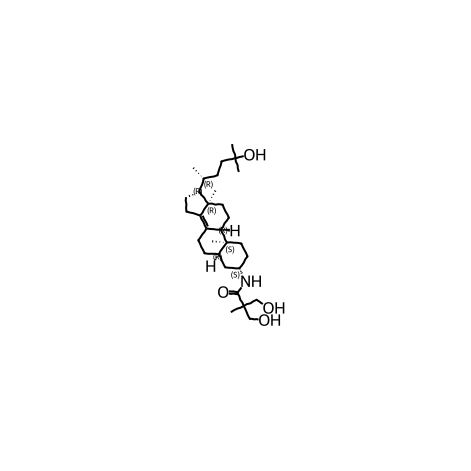 C[C@H](CCC(C)(C)O)[C@H]1CCC2=C3CC[C@@H]4C[C@@H](NC(=O)C(C)(CO)CO)CC[C@]4(C)[C@H]3CC[C@@]21C